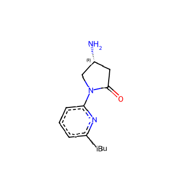 CCC(C)c1cccc(N2C[C@H](N)CC2=O)n1